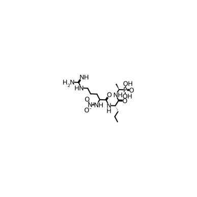 CCC[C@H](NC(=O)C(CCCNC(=N)N)N[N+](=O)[O-])C(=O)N[C@@H](C)P(=O)(O)O